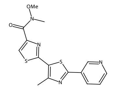 CON(C)C(=O)c1csc(-c2sc(-c3cccnc3)nc2C)n1